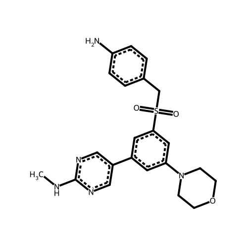 CNc1ncc(-c2cc(N3CCOCC3)cc(S(=O)(=O)Cc3ccc(N)cc3)c2)cn1